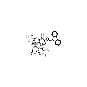 C#CC[C@H](NC(=O)[C@H](CC(C)C)NC(=O)OCC1c2ccccc2-c2ccccc21)C(OC)OC